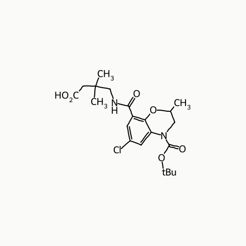 CC1CN(C(=O)OC(C)(C)C)c2cc(Cl)cc(C(=O)NCC(C)(C)CC(=O)O)c2O1